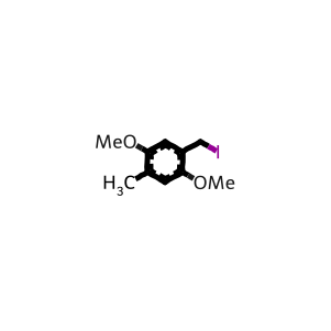 COc1cc(CI)c(OC)cc1C